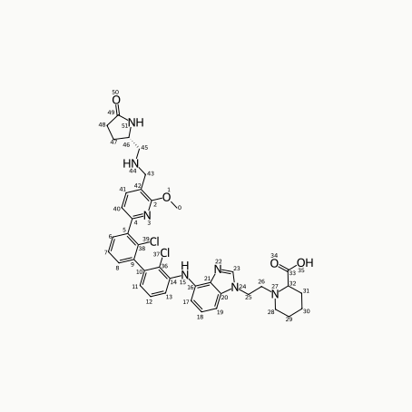 COc1nc(-c2cccc(-c3cccc(Nc4cccc5c4ncn5CCN4CCCCC4C(=O)O)c3Cl)c2Cl)ccc1CNC[C@@H]1CCC(=O)N1